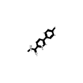 CNC(=O)c1ccc(-c2ccc(C)cc2)cn1